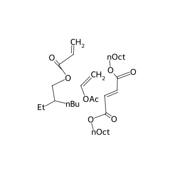 C=CC(=O)OCC(CC)CCCC.C=COC(C)=O.CCCCCCCCOC(=O)C=CC(=O)OCCCCCCCC